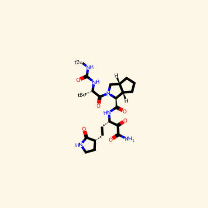 CC(C)(C)NC(=O)N[C@H](C(=O)N1C[C@@H]2CCC[C@@H]2[C@H]1C(=O)N[C@@H](CC[C@@H]1CCNC1=O)C(=O)C(N)=O)C(C)(C)C